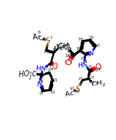 CC(=O)SCC(C)C(=O)NC1(C(=O)O)CC=CC=N1.COC(=O)c1cccnc1NC(=O)C(C)CSC(C)=O